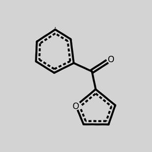 O=C(c1c[c]ccc1)c1ccco1